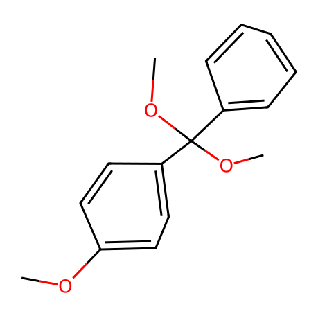 COc1ccc(C(OC)(OC)c2ccccc2)cc1